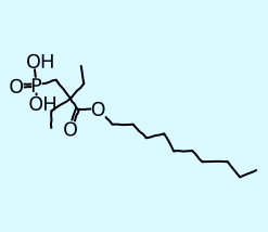 CCCCCCCCCCOC(=O)C(CC)(CC)CP(=O)(O)O